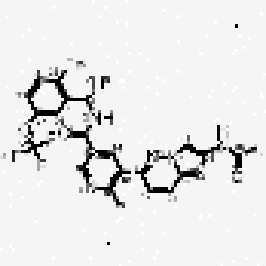 [2H]C(NC(=O)c1cnc(C)c(-c2ccc3nc(NC(C)=O)cn3n2)c1)c1cc(OC(F)(F)F)ccc1F